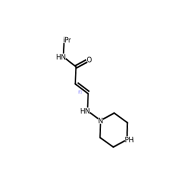 CC(C)NC(=O)/C=C/NN1CCPCC1